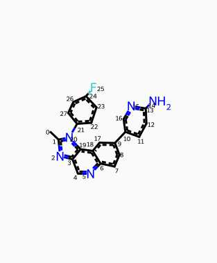 Cc1nc2cnc3ccc(-c4ccc(N)nc4)cc3c2n1-c1ccc(F)cc1